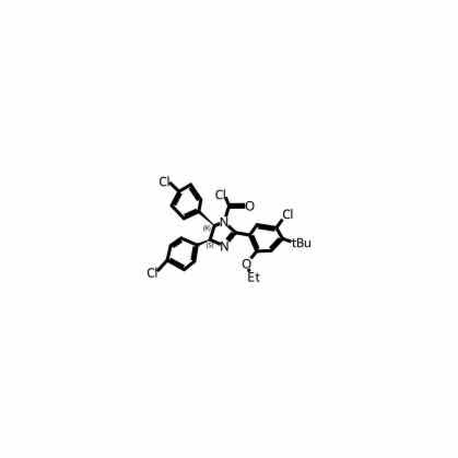 CCOc1cc(C(C)(C)C)c(Cl)cc1C1=N[C@@H](c2ccc(Cl)cc2)[C@@H](c2ccc(Cl)cc2)N1C(=O)Cl